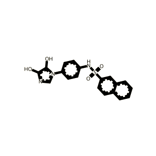 O=S(=O)(Nc1ccc(-n2cnc(O)c2O)cc1)c1ccc2ccccc2c1